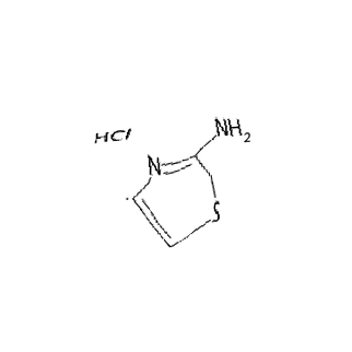 Cl.Nc1n[c]cs1